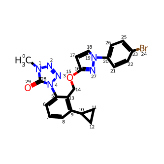 Cn1nnn(-c2cccc(C3CC3)c2COc2ccn(-c3ccc(Br)cc3)n2)c1=O